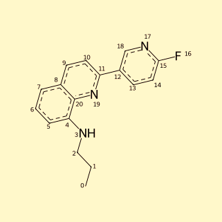 CCCNc1cccc2ccc(-c3ccc(F)nc3)nc12